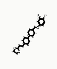 Fc1ccc(OCC2CCC(C3CCC(CCC4OCCO4)CC3)CC2)cc1F